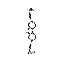 CCCCC#Cc1ccc2c(c1)oc1cc(C#CCCCC)ccc12